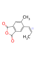 C/C=C\c1cc2c(cc1C)C(=O)OC2=O